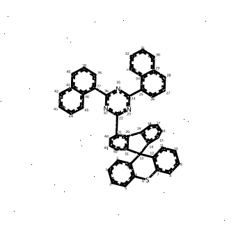 c1ccc2c(c1)Sc1ccccc1C21c2ccccc2-c2c(-c3nc(-c4cccc5ccccc45)nc(-c4cccc5ccccc45)n3)cccc21